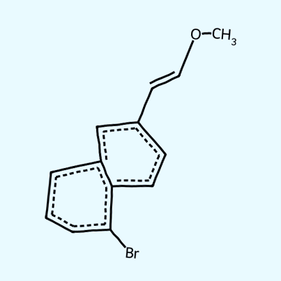 COC=Cc1ccc2c(Br)cccc2c1